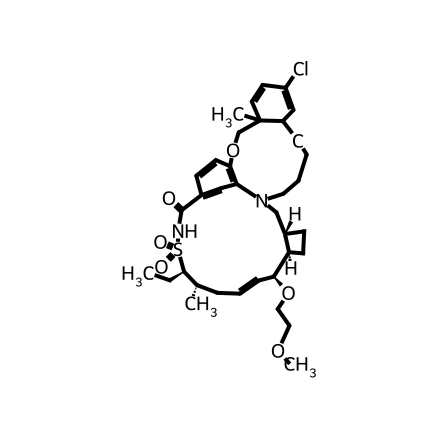 CC[C@@H]1[C@@H](C)C/C=C/[C@H](OCCOC)[C@@H]2CC[C@H]2CN2CCCCC3C=C(Cl)C=CC3(C)COc3ccc(cc32)C(=O)NS1(=O)=O